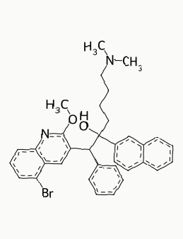 COc1nc2cccc(Br)c2cc1C(c1ccccc1)C(O)(CCCCN(C)C)c1ccc2ccccc2c1